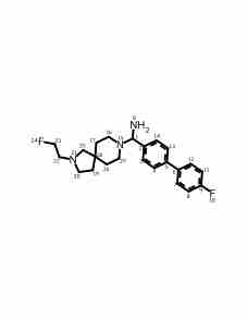 NC(c1ccc(-c2ccc(F)cc2)cc1)N1CCC2(CCN(CCF)C2)CC1